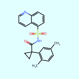 Cc1ccc(C)c(C2(C(=O)NS(=O)(=O)c3cccc4ncccc34)CC2)c1